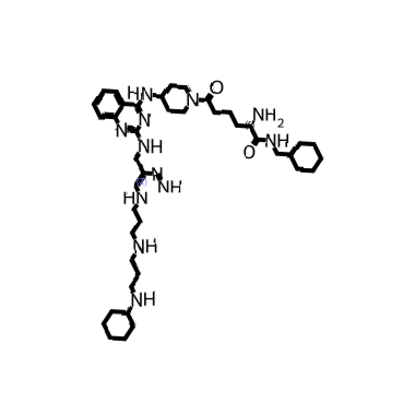 N=N/C(=C\NCCCNCCCNC1CCCCC1)CNc1nc(NC2CCN(C(=O)CCC[C@H](N)C(=O)NCC3CCCCC3)CC2)c2ccccc2n1